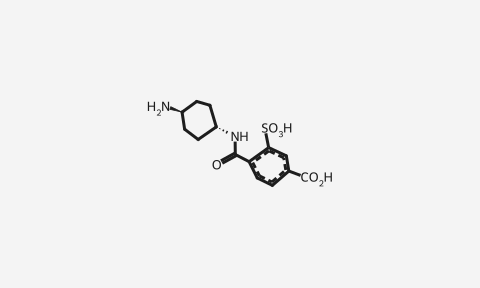 N[C@H]1CC[C@H](NC(=O)c2ccc(C(=O)O)cc2S(=O)(=O)O)CC1